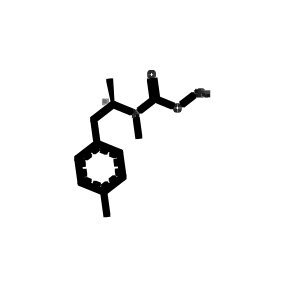 Cc1ccc(C[C@@H](C)N(C)C(=O)OC(C)(C)C)cc1